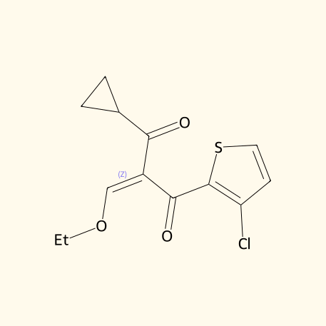 CCO/C=C(\C(=O)c1sccc1Cl)C(=O)C1CC1